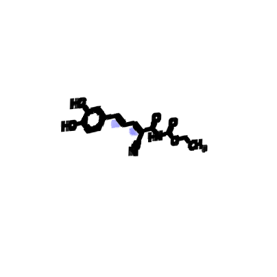 CCOC(=O)NC(=O)/C(C#N)=C/C=C/c1ccc(O)c(O)c1